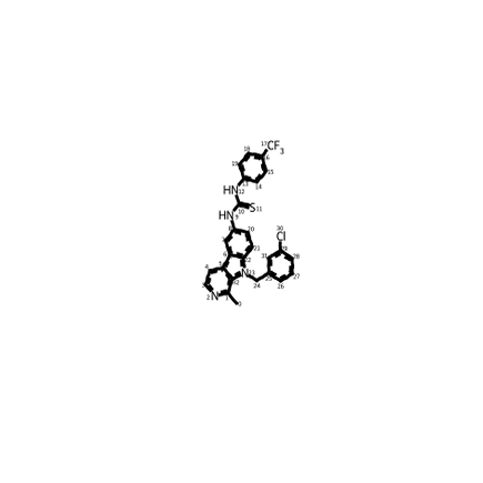 Cc1nccc2c3cc(NC(=S)Nc4ccc(C(F)(F)F)cc4)ccc3n(Cc3cccc(Cl)c3)c12